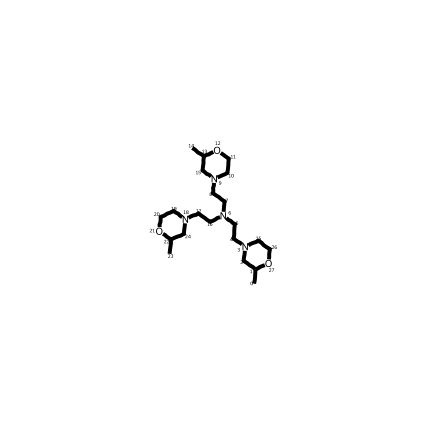 CC1CN(CCN(CCN2CCOC(C)C2)CCN2CCOC(C)C2)CCO1